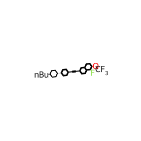 CCCC[C@H]1CC[C@H](c2ccc(C#Cc3ccc4c(F)c(OC(F)(F)F)ccc4c3)cc2)CC1